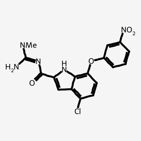 CNC(N)=NC(=O)c1cc2c(Cl)ccc(Oc3cccc([N+](=O)[O-])c3)c2[nH]1